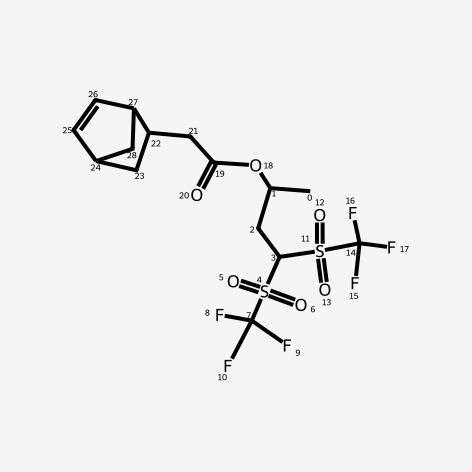 CC(CC(S(=O)(=O)C(F)(F)F)S(=O)(=O)C(F)(F)F)OC(=O)CC1CC2C=CC1C2